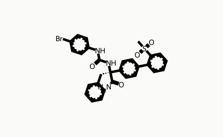 CS(=O)(=O)c1ccccc1-c1ccc([C@](Cc2ccccc2)(NC(=O)Nc2ccc(Br)cc2)C(N)=O)cc1